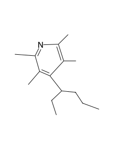 CCCC(CC)c1c(C)c(C)nc(C)c1C